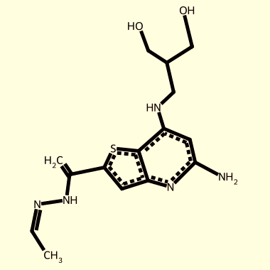 C=C(N/N=C\C)c1cc2nc(N)cc(NCC(CO)CO)c2s1